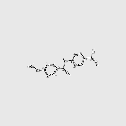 CCCCOc1ccc(C(=O)Oc2ccc(C(=O)Cl)cc2)cc1